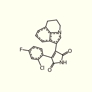 O=C1NC(=O)C(c2cn3c4c(cccc24)CCC3)=C1c1ccc(F)cc1Cl